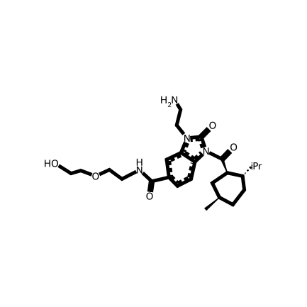 CC(C)[C@@H]1CC[C@@H](C)C[C@H]1C(=O)n1c(=O)n(CCN)c2cc(C(=O)NCCOCCO)ccc21